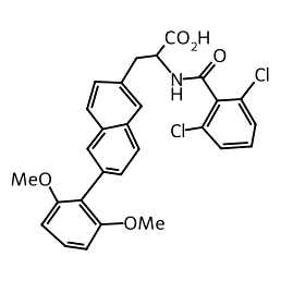 COc1cccc(OC)c1-c1ccc2cc(CC(NC(=O)c3c(Cl)cccc3Cl)C(=O)O)ccc2c1